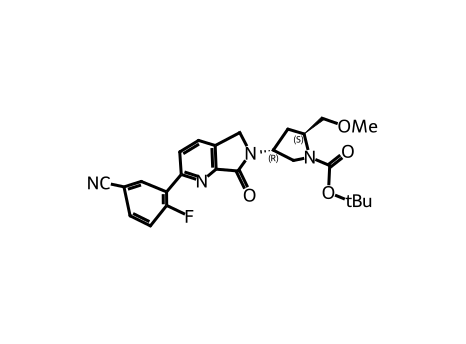 COC[C@@H]1C[C@@H](N2Cc3ccc(-c4cc(C#N)ccc4F)nc3C2=O)CN1C(=O)OC(C)(C)C